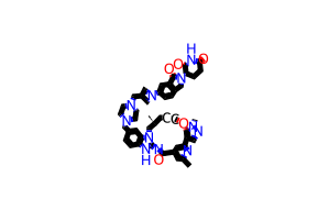 Cc1cc2cc(n1)-c1cnn(C)c1OCCC[C@@H](C)CN1/C(=N/C2=O)Nc2ccc(CN3CCN(CC4CN(c5ccc6c(c5)C(=O)N(C5CCC(=O)NC5=O)C6)C4)CC3)cc21